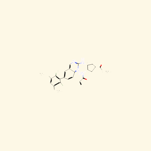 C=CC(=O)N[C@H]1C[C@@H](C(=O)OC)C[C@H]1Nc1ncc2cc(-c3c(Cl)c(OC)cc(OC)c3Cl)ccc2n1